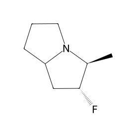 C[C@H]1[C@H](F)CC2CCCN21